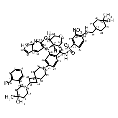 CC(C)c1ccccc1[C@@H]1CC(C)(C)CCN1C1CC2(CCN(c3ccc(C(=O)NS(=O)(=O)c4ccc(NCC5CCC(C)(O)CC5)c([N+](=O)[O-])c4)c(N4c5cc6cc[nH]c6nc5O[C@H]5COCC[C@@H]54)c3)CC2)C1